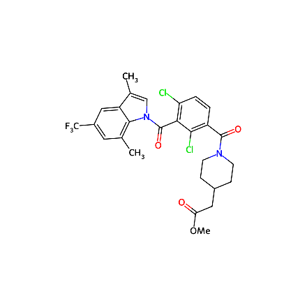 COC(=O)CC1CCN(C(=O)c2ccc(Cl)c(C(=O)n3cc(C)c4cc(C(F)(F)F)cc(C)c43)c2Cl)CC1